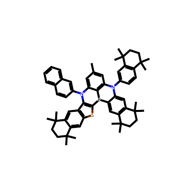 Cc1cc2c3c(c1)N(c1ccc4ccccc4c1)c1c(sc4cc5c(cc14)C(C)(C)CCC5(C)C)B3c1cc3c(cc1N2c1ccc2c(c1)C(C)(C)CCC2(C)C)C(C)(C)CCC3(C)C